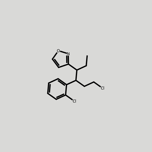 CCC(c1ccon1)C(CCCl)c1ccccc1Cl